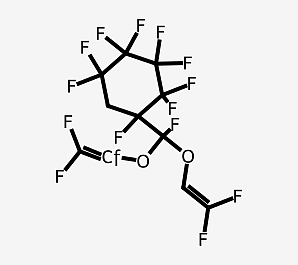 FC(F)=COC(F)([O][Cf]=[C](F)F)C1(F)CC(F)(F)C(F)(F)C(F)(F)C1(F)F